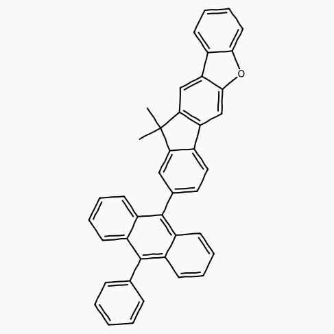 CC1(C)c2cc(-c3c4ccccc4c(-c4ccccc4)c4ccccc34)ccc2-c2cc3oc4ccccc4c3cc21